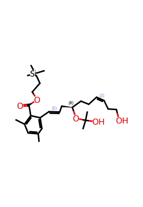 Cc1cc(C)c(C(=O)OCC[Si](C)(C)C)c(/C=C/C[C@@H](CC/C=C\CCO)OC(C)(C)O)c1